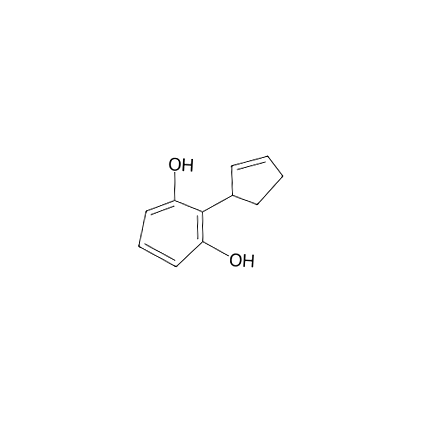 Oc1cccc(O)c1C1C=CCC1